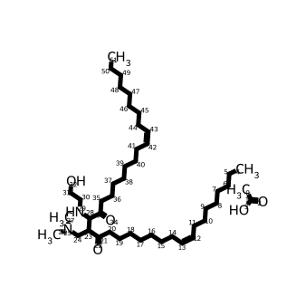 CC(=O)O.CCCCCCCC/C=C\CCCCCCCC(=O)C(CN(C)C)C(NCCO)C(=O)CCCCCCC/C=C\CCCCCCCC